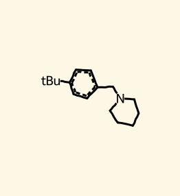 CC(C)(C)c1ccc(CN2CCCCC2)cc1